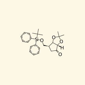 CC1(C)OC2[C@H](CO[Si](c3ccccc3)(c3ccccc3)C(C)(C)C)CC(=O)[C@H]2O1